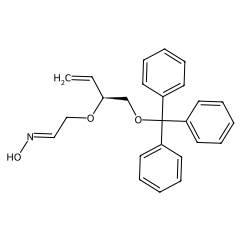 C=C[C@@H](COC(c1ccccc1)(c1ccccc1)c1ccccc1)OC/C=N/O